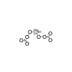 N=C(OC(=N)c1cccc(-c2ccc(N(c3ccccc3)c3ccccc3)cc2)c1)c1cccc(-c2ccc(N(c3ccccc3)c3ccccc3)cc2)c1